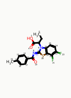 CCC(C(=O)O)n1/c(=N/C(=O)c2ccc(C)cc2)sc2c(F)c(F)ccc21